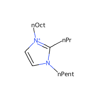 CCCCCCCC[n+]1ccn(CCCCC)c1CCC